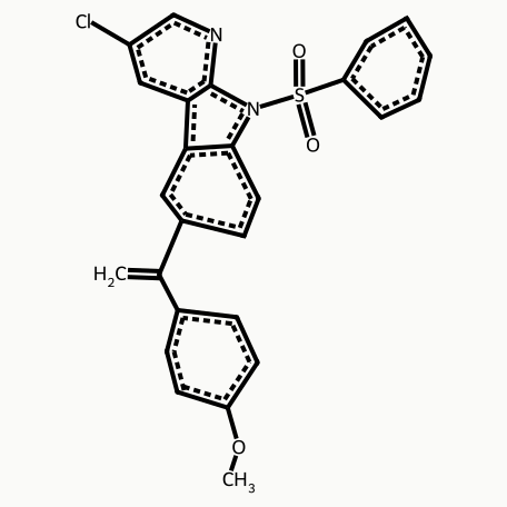 C=C(c1ccc(OC)cc1)c1ccc2c(c1)c1cc(Cl)cnc1n2S(=O)(=O)c1ccccc1